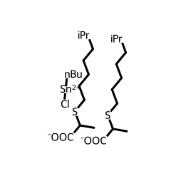 CC(C)CCCCCSC(C)C(=O)[O-].CC(C)CCCCCSC(C)C(=O)[O-].CCC[CH2][Sn+2][Cl]